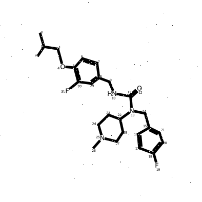 CC(C)COc1ccc(CNC(=O)N(Cc2ccc(F)cc2)C2CCN(C)CC2)cc1F